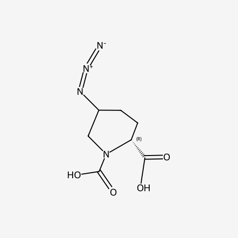 [N-]=[N+]=NC1CC[C@H](C(=O)O)N(C(=O)O)C1